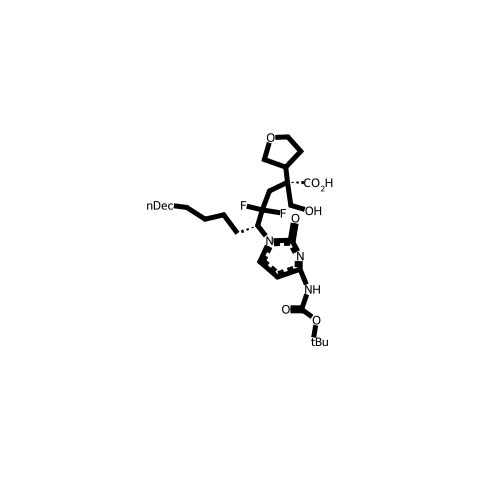 CCCCCCCCCCCCCC[C@@H](n1ccc(NC(=O)OC(C)(C)C)nc1=O)C(F)(F)C[C@@](CO)(C(=O)O)C1CCOC1